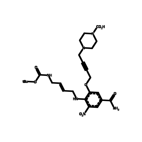 CC(C)(C)OC(=O)NCC=CCNc1c(OCC#CCN2CCN(C(=O)O)CC2)cc(C(N)=O)cc1[N+](=O)[O-]